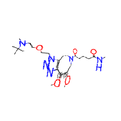 CNC(=O)CCCC(=O)N1CCc2c(nnn2CCOCCN(C)C(C)(C)C)[C@H](OC)[C@@H](OC)C1